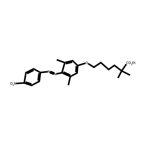 CCOC(=O)C(C)(C)CCCCOc1cc(C)c(N=Nc2ccc([N+](=O)[O-])cc2)c(C)c1